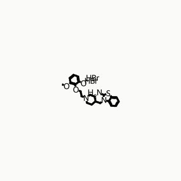 Br.Br.COc1cccc(OC)c1OCCN1CCC(CN2c3ccccc3SC2N)CC1